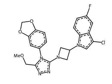 COCc1nnc(N2CC(n3cc(Cl)c4cc(F)ccc43)C2)n1-c1ccc2c(c1)OCO2